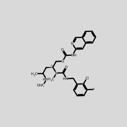 CC(C[C@@H](COC(=O)Nc1cc2ccccc2cn1)N(C)C(=O)NCc1cccc(F)c1Cl)NC=O